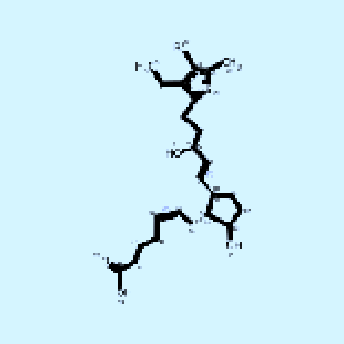 CCc1c(CC[C@H](O)/C=C/[C@H]2CCC(O)[C@@H]2C/C=C\CCCC(=O)O)sc(C)c1Br